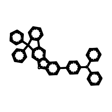 c1ccc(N(c2ccccc2)c2ccc(-c3ccc4oc5cc6c(cc5c4c3)-c3ccccc3C6(c3ccccc3)c3ccccc3)cc2)cc1